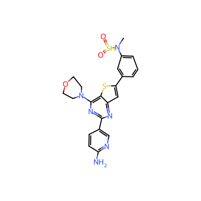 CN(c1cccc(-c2cc3nc(-c4ccc(N)nc4)nc(N4CCOCC4)c3s2)c1)[SH](=O)=O